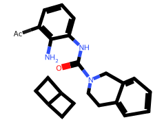 C1CC2CCC12.CC(=O)c1cccc(NC(=O)N2CCc3ccccc3C2)c1N